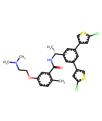 Cc1ccc(OCCN(C)C)cc1C(=O)N[C@H](C)c1cc(-c2csc(Cl)c2)cc(-c2csc(Cl)c2)c1